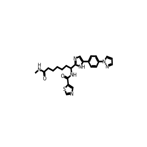 CNC(=O)CCCCCC(NC(=O)c1cncs1)c1ncc(-c2ccc(-n3cccn3)cc2)[nH]1